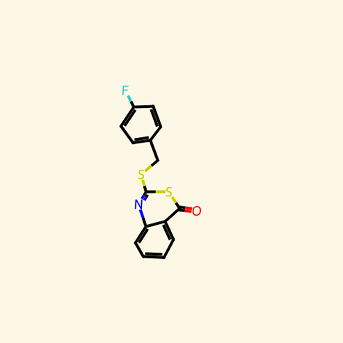 O=c1sc(SCc2ccc(F)cc2)nc2ccccc12